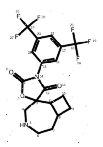 O=C1OC2(CNCCC3CCC32)C(=O)N1c1cc(C(F)(F)F)cc(C(F)(F)F)c1